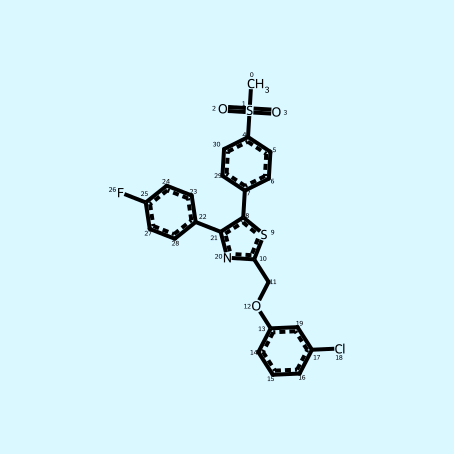 CS(=O)(=O)c1ccc(-c2sc(COc3cccc(Cl)c3)nc2-c2ccc(F)cc2)cc1